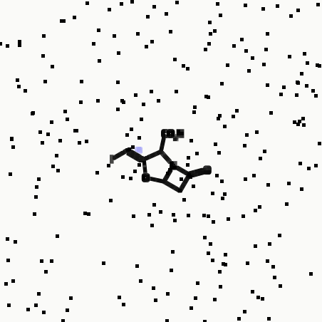 O=C(O)C1/C(=C/I)OC2CC(=O)N21